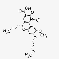 CCCC[C@H]1Oc2cc(OCCCOC)c(OC)cc2-c2c1cc(C(=O)O)c(=O)n2C1CC1